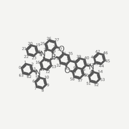 c1ccc(N(c2ccccc2)c2ccc3c(c2)N(c2ccccc2)c2cccc4c2B3c2cc3c(cc2O4)-c2ccc(N(c4ccccc4)c4ccccc4)c4cccc(c24)O3)cc1